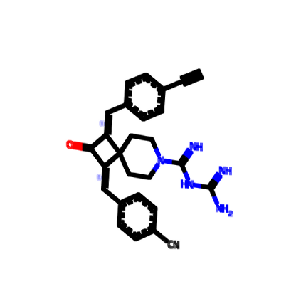 C#Cc1ccc(/C=C2/C(=O)/C(=C/c3ccc(C#N)cc3)C23CCN(C(=N)NC(=N)N)CC3)cc1